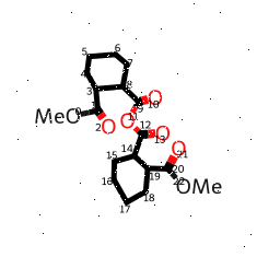 COC(=O)C1CCCCC1C(=O)OC(=O)C1CCCCC1C(=O)OC